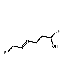 CC(C)CN=NCCC(C)O